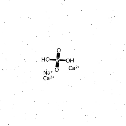 O=S(=O)(O)O.[Ca+2].[Ca+2].[Na+]